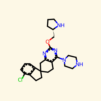 Clc1cccc2c1CCC21CCc2c(nc(OC[C@@H]3CCCN3)nc2N2CCNCC2)C1